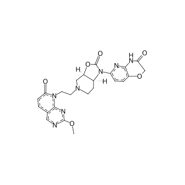 COc1ncc2ccc(=O)n(CCN3CC[C@H]4[C@@H](C3)OC(=O)N4c3ccc4c(n3)NC(=O)CO4)c2n1